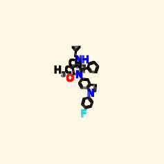 CC1(C)C(=O)N(c2ccc3c(ccn3-c3ccc(F)cc3)c2)[C@H](c2ccccc2)[C@H]1NCC1CC1